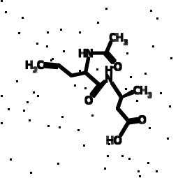 C=CCC(NC(C)=O)C(=O)N[C@@H](C)CC(=O)O